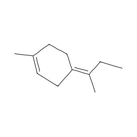 CCC(C)=C1CC=C(C)CC1